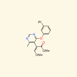 CO/C=C(\C(=O)OC)c1c(C)ncnc1Oc1cccc(C(C)C)c1